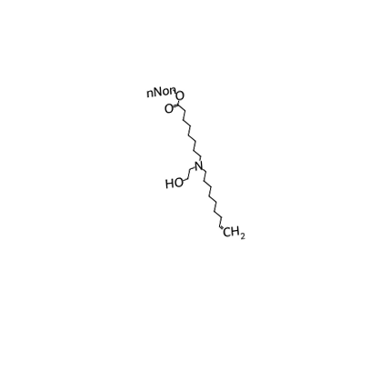 C=CCCCCCCCN(CCO)CCCCCCCC(=O)OCCCCCCCCC